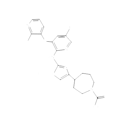 CC(=O)N1CCCC(c2csc(Nc3ncc(Br)cc3Oc3cccnc3C)n2)CC1.Cl.Cl